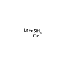 [Cu].[Fe].[La].[SiH4]